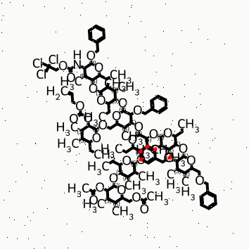 C=CCOC(=O)OC1[C@@H](OCC2O[C@@H](O[C@@H]3C(CC)O[C@@H](O[C@@H]4C(CC)O[C@@H](OCc5ccccc5)C(NC(=O)OCC(Cl)(Cl)Cl)[C@H]4C)C(C)[C@H]3C)C(OCc3ccccc3)[C@@H](O[C@@H]3OC(CC)[C@H](O[C@@H]4OC(CC)[C@@H](O[C@@H]5OC(COC(C)=O)[C@H](C)[C@H](C)C5OC(C)=O)[C@H](C)C4C)C(C)[C@@H]3O[C@@H]3OC(CC)[C@@H](O[C@@H]4OC(COCc5ccccc5)[C@H](C)[C@H](C)C4OCc4ccccc4)[C@H](C)C3C)[C@@H]2C)OC(CC)[C@@H](C)[C@@H]1C